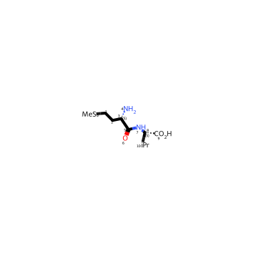 CSCC[C@H](N)C(=O)N[C@H](C(=O)O)C(C)C